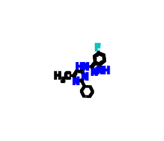 Cc1cc(Nc2n[nH]c3ccc(F)cc23)nc(C2CCCCC2)n1